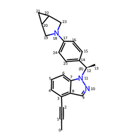 CC#Cc1cccc2c1cnn2[C@H](C)c1ccc(N2CC3CC3C2)cc1